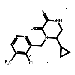 O=C1C(=S)NCC(C2CC2)N1Cc1cccc(C(F)(F)F)c1Cl